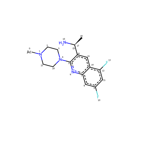 CC(=O)N1CCN(c2nc3cc(F)cc(F)c3cc2[C@H](C)N)CC1